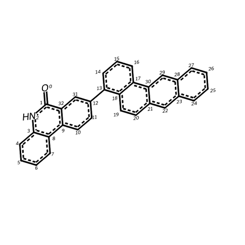 O=c1[nH]c2ccccc2c2ccc(-c3cccc4c3ccc3cc5ccccc5cc34)cc12